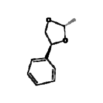 C[C@H]1OC[C@H](c2ccccc2)O1